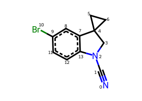 N#CN1CC2(CC2)c2cc(Br)ccc21